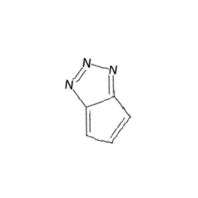 C1=CC2=NN=NC2=C1